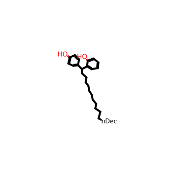 CCCCCCCCCCCCCCCCCCCCCC(c1ccc(O)cc1)c1ccccc1O